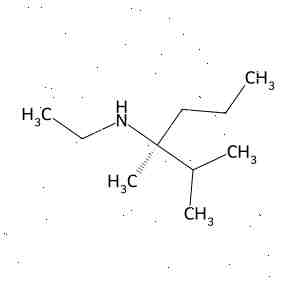 CCC[C@](C)(NCC)C(C)C